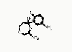 NC1=NC(c2cc(N)ccc2F)(C(F)(F)F)CCOC1